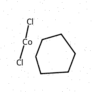 C1CCCCC1.[Cl][Co][Cl]